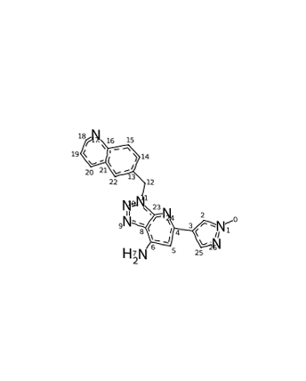 Cn1cc(-c2cc(N)c3nnn(Cc4ccc5ncccc5c4)c3n2)cn1